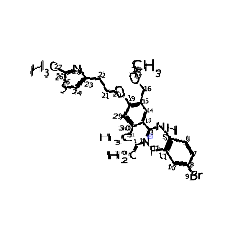 C=C/N=C(/Nc1ccc(Br)cc1F)c1cc(COC)c(OCCc2csc(C)n2)cc1C